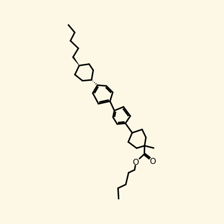 CCCCCOC(=O)C1(C)CCC(c2ccc(-c3ccc([C@H]4CC[C@H](CCCCC)CC4)cc3)cc2)CC1